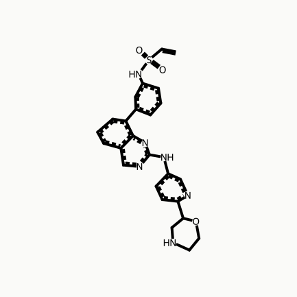 C=CS(=O)(=O)Nc1cccc(-c2cccc3cnc(Nc4ccc(C5CNCCO5)nc4)nc23)c1